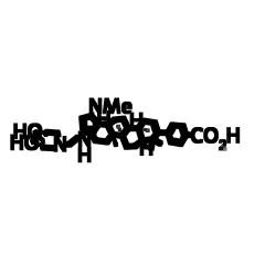 CN[C@@H]1CC[C@]2(NCCN3CCS(O)(O)CC3)CC[C@]3(C)[C@H](CC[C@@H]4[C@@]5(C)CC=C(c6ccc(C(=O)O)cc6)C(C)(C)[C@@H]5CC[C@]43C)[C@@H]12